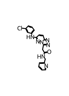 O=C(Cc1nnc2ccc(Nc3cccc(Cl)c3)nn12)NCc1ccccn1